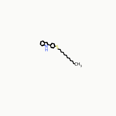 CCCCCCCCCCCCSc1ccc(-c2cc3ccccc3[nH]2)cc1